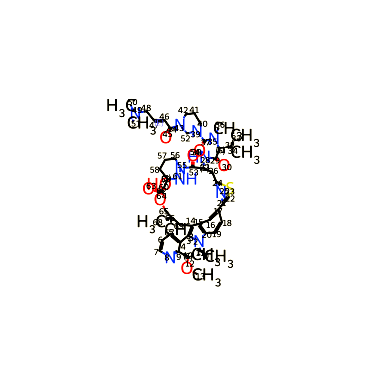 CCn1c(-c2cccnc2[C@H](C)OC)c2c3cc(ccc31)-c1csc(n1)C[C@H](NC(=O)[C@H](C(C)C)N(C)C(=O)N1CCCN(C(=O)/C=C/CN(C)C)C1)C(=O)N1CCC[C@@](O)(N1)C(=O)OCC(C)(C)C2